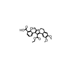 CCOC(=O)c1c(-c2cccc(C(=O)O)c2O)c(C)n2c1-c1cc(OC)c(OC)cc1CC2